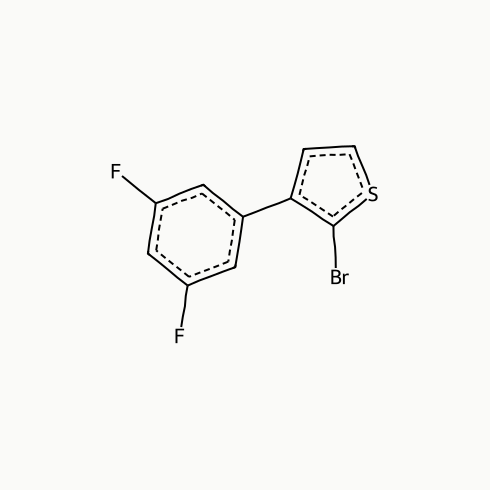 Fc1cc(F)cc(-c2ccsc2Br)c1